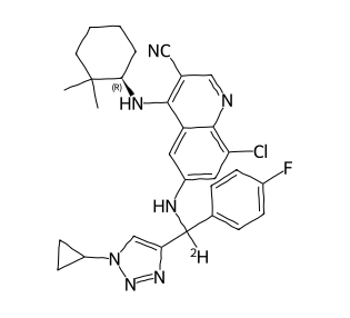 [2H]C(Nc1cc(Cl)c2ncc(C#N)c(N[C@@H]3CCCCC3(C)C)c2c1)(c1ccc(F)cc1)c1cn(C2CC2)nn1